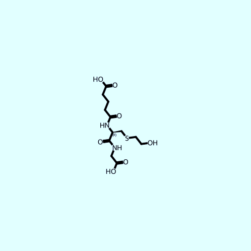 O=C(O)CCCC(=O)N[C@@H](CSCCO)C(=O)NCC(=O)O